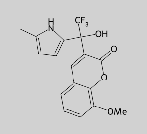 COc1cccc2cc(C(O)(c3ccc(C)[nH]3)C(F)(F)F)c(=O)oc12